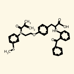 C=C(C)C(=O)N(CCOc1ccc(CC(Nc2ccccc2C(=O)c2ccccc2)C(=O)O)cc1)c1cccc(SC)c1